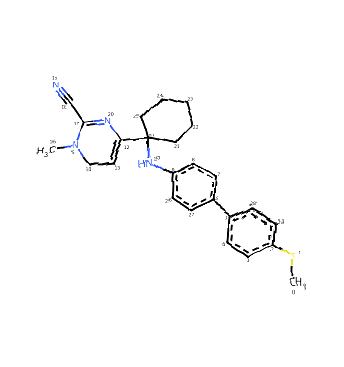 CSc1ccc(-c2ccc(NC3(C4=CCN(C)C(C#N)=N4)CCCCC3)cc2)cc1